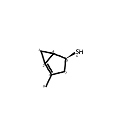 CC1=C2CC2[C@@H](S)C1